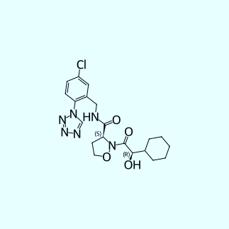 O=C(NCc1cc(Cl)ccc1-n1cnnn1)[C@@H]1CCON1C(=O)[C@H](O)C1CCCCC1